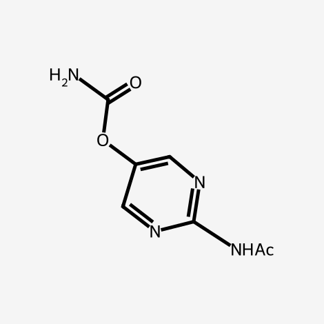 CC(=O)Nc1ncc(OC(N)=O)cn1